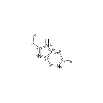 CCc1nc2cnc(C)cc2[nH]1